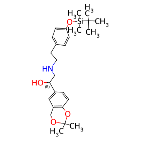 CC1(C)OCc2cc([C@@H](O)CNCCc3ccc(O[Si](C)(C)C(C)(C)C)cc3)ccc2O1